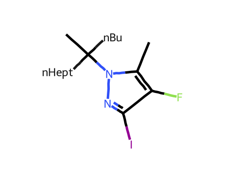 CCCCCCCC(C)(CCCC)n1nc(I)c(F)c1C